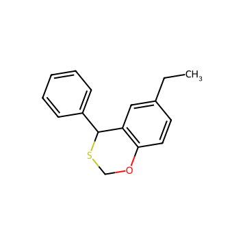 CCc1ccc2c(c1)C(c1ccccc1)SCO2